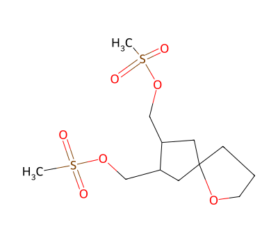 CS(=O)(=O)OCC1CC2(CCCO2)CC1COS(C)(=O)=O